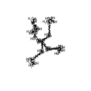 Cc1ncnc2c1ncn2[C@H]1C[C@H](OP(=O)(O)OCOCC(CO)COCOP(=O)(O)OCC(COCCCOP(=O)(O)OCCCCCCO[C@H](OC(CO)[C@@H](C)O)[C@@H](N)CO)(COCCCOP(=O)(O)OCCCCCCO[C@@H]2OC(CO)[C@H](O)C(O)[C@@H]2C)COCCCOP(=O)(O)OCCCCCCO[C@@H]2OC(CO)[C@H](O)C(O)[C@@H]2N)[C@@H](COP(C)(=O)O)O1